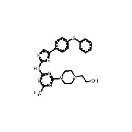 Cc1nc(Nc2ncc(-c3ccc(Sc4ccccc4)cc3)s2)nc(N2CCN(CCO)CC2)n1